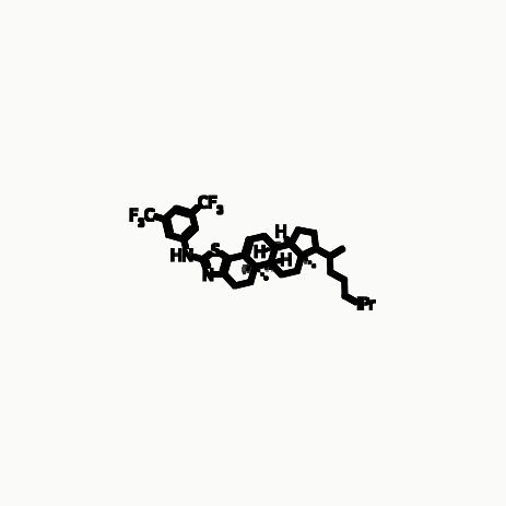 CC(C)CCCC(C)C1CC[C@H]2[C@@H]3CC=C4c5sc(Nc6cc(C(F)(F)F)cc(C(F)(F)F)c6)nc5CC[C@]4(C)[C@H]3CC[C@]12C